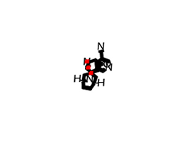 N#Cc1cncc([C@]2(C#N)C[C@H]3C=C[C@@H](C2)N3C2=CC(=O)CCC2)c1